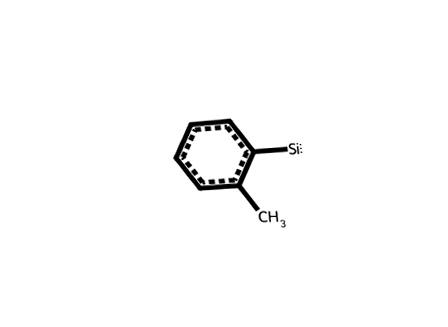 Cc1ccccc1[Si]